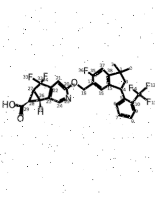 CC1(C)CC(c2ccccc2C(F)(F)F)c2cc(COc3cc4c(cn3)[C@H]3C([C@@H]3C(=O)O)C4(F)F)c(F)cc21